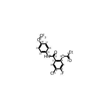 CCC(=O)Oc1cc(F)c(Cl)cc1C(=O)Nc1ccc(OC(F)(F)F)cc1